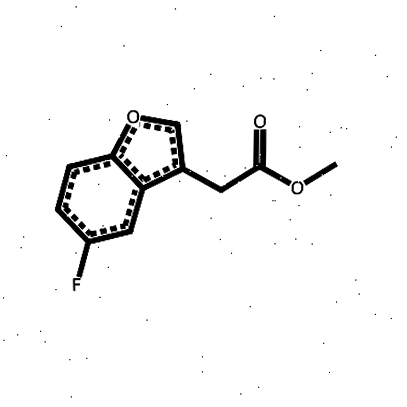 COC(=O)Cc1coc2ccc(F)cc12